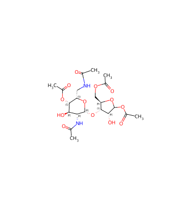 CC(=O)NC[C@@H]1O[C@H](O[C@@H]2[C@@H](COC(C)=O)OC(OC(C)=O)[C@@H]2O)[C@H](NC(C)=O)[C@@H](O)[C@@H]1OC(C)=O